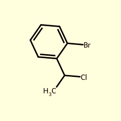 CC(Cl)c1ccccc1Br